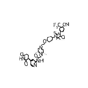 C[C@@H]1CN(CCO[C@H]2CC[C@H](N3C(=S)N(c4ccc(C#N)c(C(F)(F)F)c4)C(=O)C3(C)C)CC2)C[C@H](C)N1CC(=O)Nc1cc(C2CCC(=O)NC2=O)ccn1